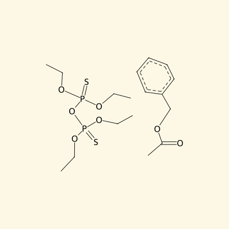 CC(=O)OCc1ccccc1.CCOP(=S)(OCC)OP(=S)(OCC)OCC